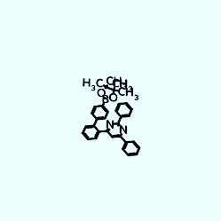 CC1(C)OB(c2ccc(-c3ccccc3-c3cc(-c4ccccc4)nc(-c4ccccc4)n3)cc2)OC1(C)C